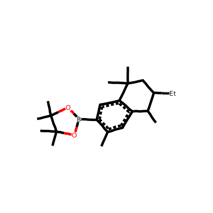 CCC1CC(C)(C)c2cc(B3OC(C)(C)C(C)(C)O3)c(C)cc2C1C